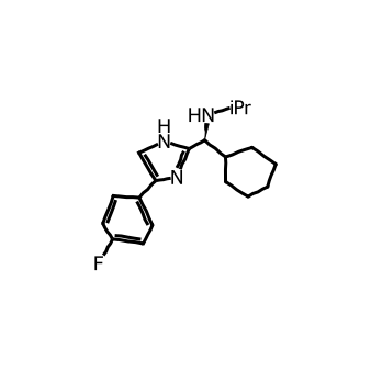 CC(C)N[C@H](c1nc(-c2ccc(F)cc2)c[nH]1)C1CCCCC1